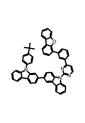 CC(C)(C)c1ccc(-n2c3ccccc3c3ccc(-c4ccc5c(c4)c4ccccc4n5-c4nccc(-c5cccc(-c6cccc7c6oc6ccccc67)c5)n4)cc32)cc1